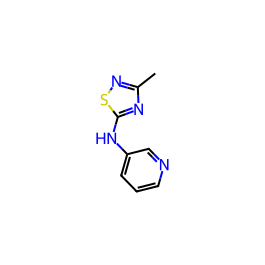 Cc1nsc(Nc2cccnc2)n1